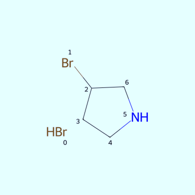 Br.BrC1CCNC1